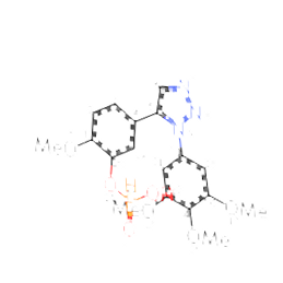 COc1ccc(-c2cnnn2-c2cc(OC)c(OC)c(OC)c2)cc1O[PH](=O)O